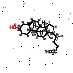 C[C@H](CCC(=O)O)[C@H]1CC[C@H]2[C@@H]3CC=C4C[C@H](O)CC[C@]4(C)[C@H]3CC[C@]12C